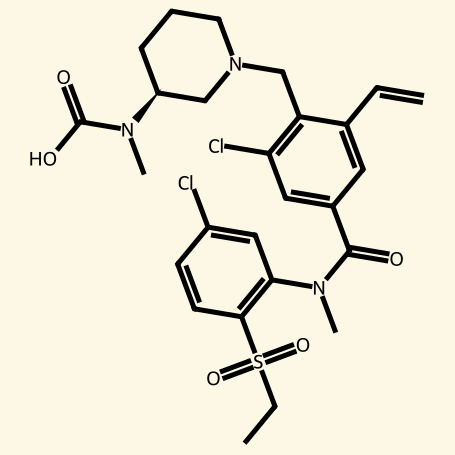 C=Cc1cc(C(=O)N(C)c2cc(Cl)ccc2S(=O)(=O)CC)cc(Cl)c1CN1CCC[C@H](N(C)C(=O)O)C1